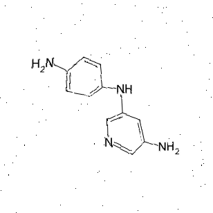 Nc1ccc(Nc2cncc(N)c2)cc1